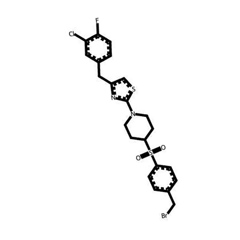 O=S(=O)(c1ccc(CBr)cc1)C1CCN(c2nc(Cc3ccc(F)c(Cl)c3)cs2)CC1